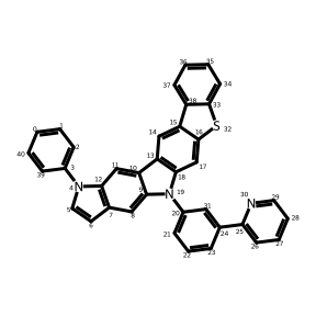 c1ccc(-n2ccc3cc4c(cc32)c2cc3c(cc2n4-c2cccc(-c4ccccn4)c2)sc2ccccc23)cc1